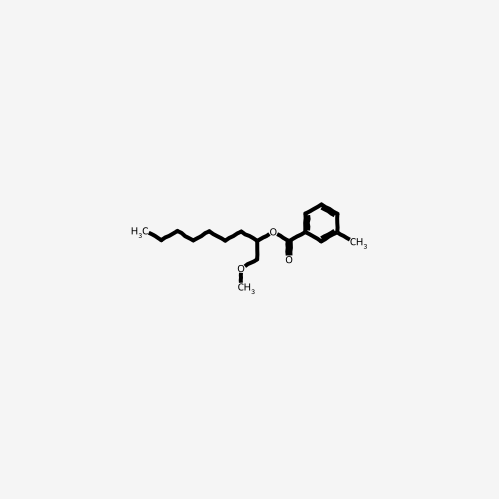 CCCCCCCC(COC)OC(=O)c1cccc(C)c1